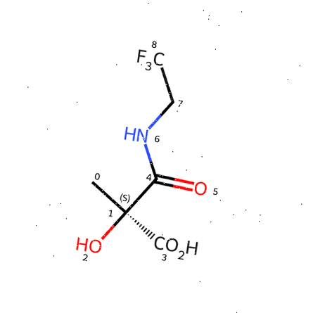 C[C@@](O)(C(=O)O)C(=O)NCC(F)(F)F